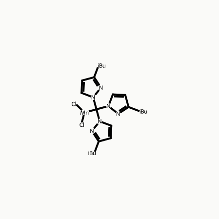 CCC(C)c1ccn([C](n2ccc(C(C)CC)n2)(n2ccc(C(C)CC)n2)[Mn]([Cl])[Cl])n1